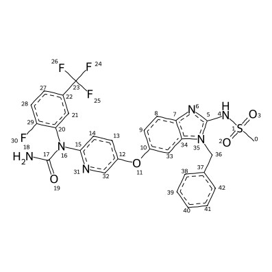 CS(=O)(=O)Nc1nc2ccc(Oc3ccc(N(C(N)=O)c4cc(C(F)(F)F)ccc4F)nc3)cc2n1Cc1ccccc1